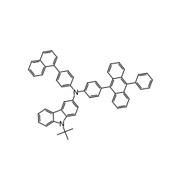 CC(C)(C)n1c2ccccc2c2cc(N(c3ccc(-c4cccc5ccccc45)cc3)c3ccc(-c4c5ccccc5c(-c5ccccc5)c5ccccc45)cc3)ccc21